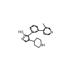 Cc1cnccc1-c1cccc(-c2c(C3CCNCC3)cnn2O)c1